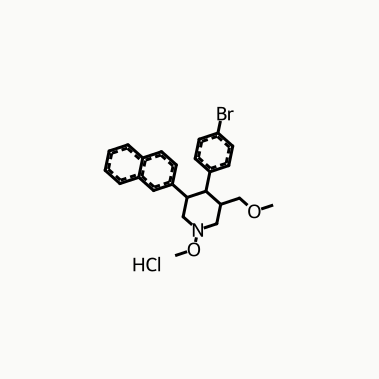 COCC1CN(OC)CC(c2ccc3ccccc3c2)C1c1ccc(Br)cc1.Cl